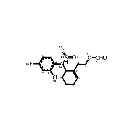 O=COCCC1=CCCCC1N(c1ccc(F)cc1Cl)[SH](=O)=O